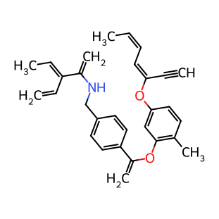 C#C/C(=C\C=C/C)Oc1ccc(C)c(OC(=C)c2ccc(CNC(=C)/C(C=C)=C/C)cc2)c1